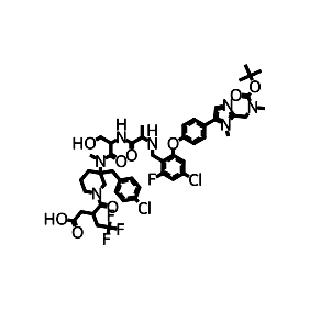 CC(NCc1c(F)cc(Cl)cc1Oc1ccc(-c2cnc(CN(C)C(=O)OC(C)(C)C)n2C)cc1)C(=O)NC(CO)C(=O)N(C)C1(Cc2ccc(Cl)cc2)CCCN(C(=O)C(CC(=O)O)CC(F)(F)F)C1